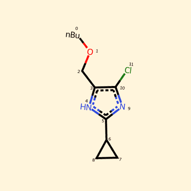 CCCCOCc1[nH]c(C2CC2)nc1Cl